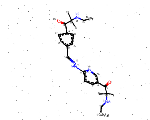 CSCNC(C)(C)C(=O)c1ccc(N/N=C/c2ccc(C(=O)C(C)(C)NCC(C)C)cc2)nc1